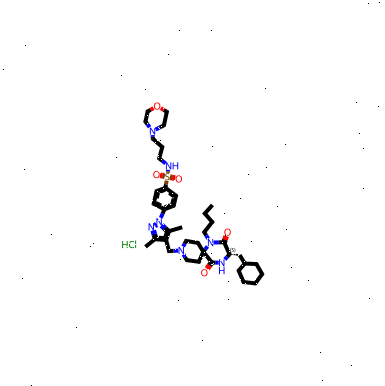 CCCCN1C(=O)[C@H](CC2CCCCC2)NC(=O)C12CCN(Cc1c(C)nn(-c3ccc(S(=O)(=O)NCCCN4CCOCC4)cc3)c1C)CC2.Cl